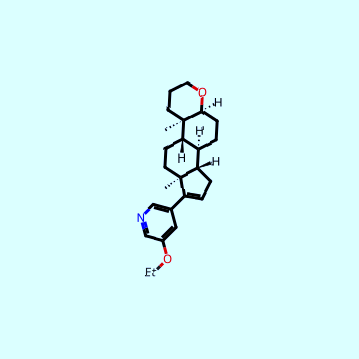 CCOc1cncc(C2=CC[C@H]3[C@@H]4CC[C@@H]5OCCC[C@]5(C)[C@H]4CC[C@]23C)c1